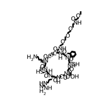 CCOCC(=O)NCCOCCOCCOCCNC(=O)[C@@H]1CSCC(=O)N[C@@H](CCCCN)C(=O)N[C@@H](CS)C(=O)N[C@@H](CCCNC(=N)N)C(=O)NCC(=O)N[C@@H](CC(=O)O)C(=O)N[C@@H](CS)C(=O)N[C@@H](Cc2ccccc2)C(=O)N1